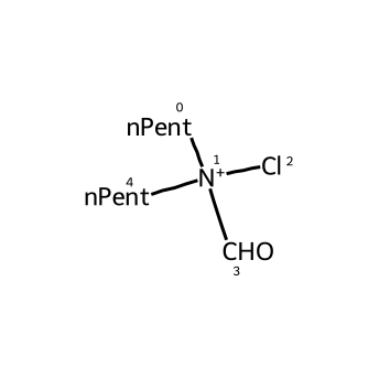 CCCCC[N+](Cl)(C=O)CCCCC